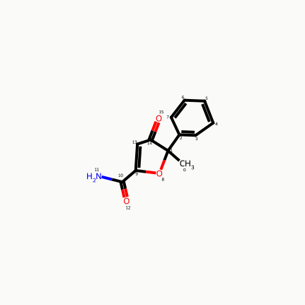 CC1(c2ccccc2)OC(C(N)=O)=CC1=O